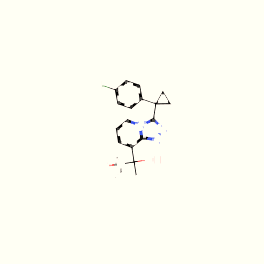 [2H][13C]([2H])(O)C(C)(O)c1cccn2c(C3(c4ccc(Cl)cc4)CC3)nnc12